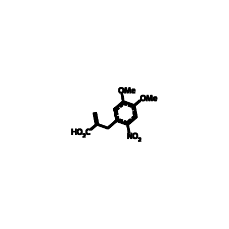 C=C(Cc1cc(OC)c(OC)cc1[N+](=O)[O-])C(=O)O